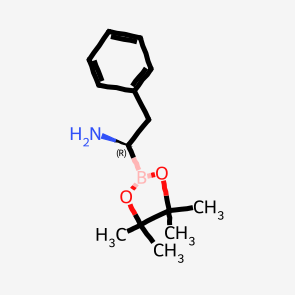 CC1(C)OB([C@@H](N)Cc2ccccc2)OC1(C)C